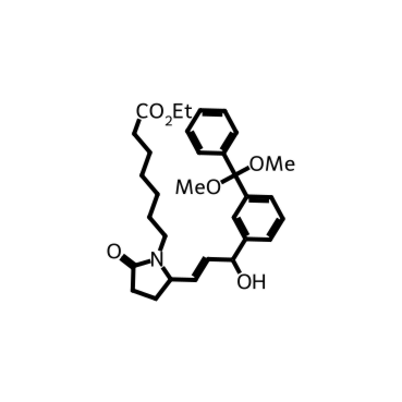 CCOC(=O)CCCCCCN1C(=O)CCC1C=CC(O)c1cccc(C(OC)(OC)c2ccccc2)c1